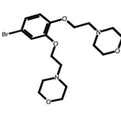 Brc1ccc(OCCN2CCOCC2)c(OCCN2CCOCC2)c1